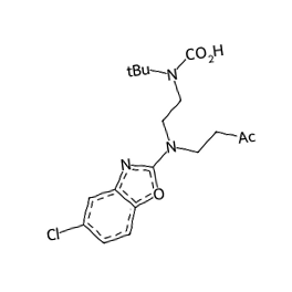 CC(=O)CCN(CCN(C(=O)O)C(C)(C)C)c1nc2cc(Cl)ccc2o1